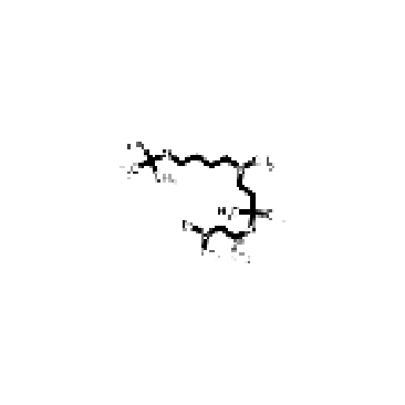 CCCC(C)(C)OCCCCN(C)CCC(C)(C)O[C@H](C)CN(C)CC